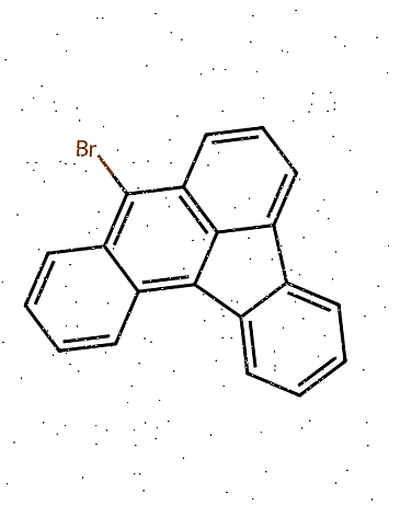 Brc1c2ccccc2c2c3c(cccc13)-c1ccccc1-2